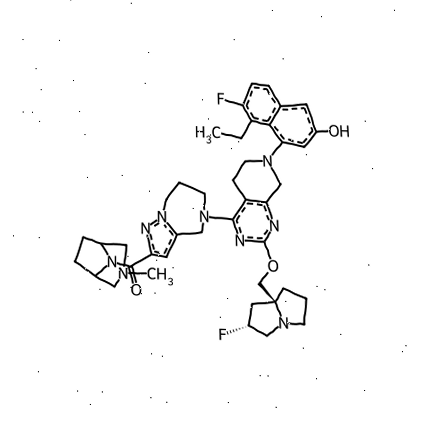 CCc1c(F)ccc2cc(O)cc(N3CCc4c(nc(OC[C@@]56CCCN5C[C@H](F)C6)nc4N4CCCn5nc(C(=O)N6C7CCC6CN(C)C7)cc5C4)C3)c12